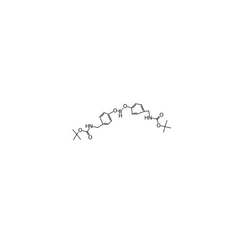 CC(C)(C)OC(=O)NCc1ccc(OBOc2ccc(CNC(=O)OC(C)(C)C)cc2)cc1